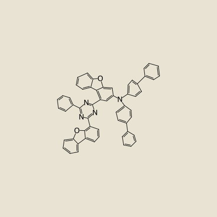 c1ccc(-c2ccc(N(c3ccc(-c4ccccc4)cc3)c3cc(-c4nc(-c5ccccc5)nc(-c5cccc6c5oc5ccccc56)n4)c4c(c3)oc3ccccc34)cc2)cc1